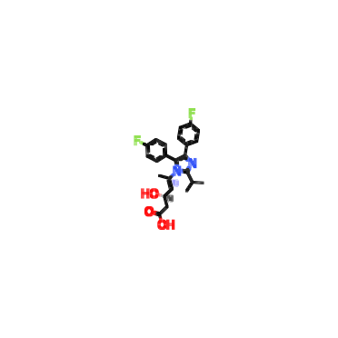 C/C(=C\[C@@H](O)CC(=O)O)n1c(C(C)C)nc(-c2ccc(F)cc2)c1-c1ccc(F)cc1